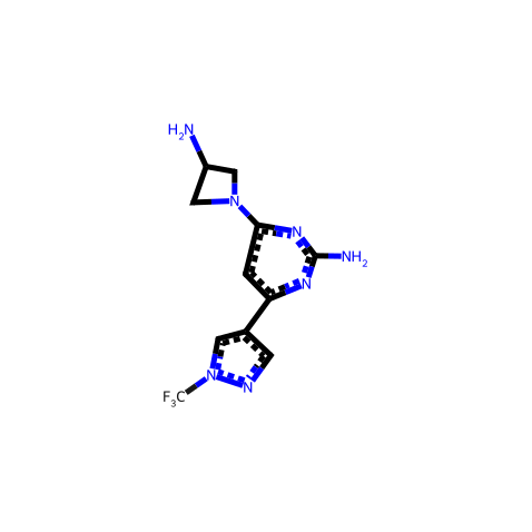 Nc1nc(-c2cnn(C(F)(F)F)c2)cc(N2CC(N)C2)n1